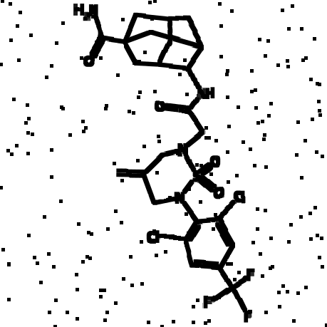 C=C1CN(CC(=O)NC2C3CC4CC2CC(C(N)=O)(C4)C3)S(=O)(=O)N(c2c(Cl)cc(C(F)(F)F)cc2Cl)C1